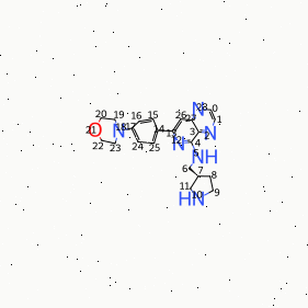 c1cnc2c(NC[C@H]3CCNC3)nc(-c3ccc(N4CCOCC4)cc3)cc2n1